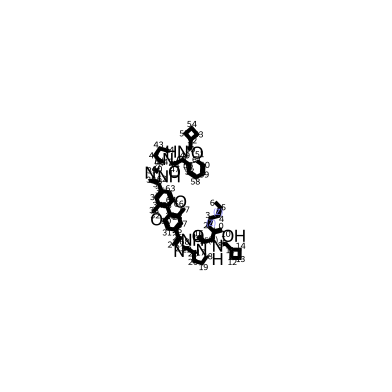 C=C(/C=C\C=C/C)[C@@H](NC(O)C1CCC1)C(=O)N1CCCC1c1ncc(-c2cc3c4c(c2)OCc2cc(-c5cnc([C@@H]6CCCN6C(=O)[C@H](NC(=O)C6CCC6)[C@H]6C=CC=CC6)[nH]5)cc(c2-4)OC3)[nH]1